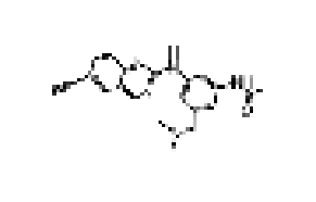 C#Cc1ccc2nc(Nc3cc(CN(C)C)cc(NC(C)=O)c3)ncc2c1